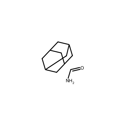 C1C2CC3CC1CC(C2)C3.NC=O